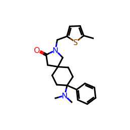 Cc1ccc(CN2CC3(CCC(c4ccccc4)(N(C)C)CC3)CC2=O)s1